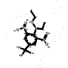 CCON(CC)c1c([N+](=O)[O-])cc(C(F)(F)F)cc1[N+](=O)[O-]